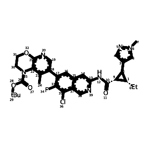 CC[C@H]1C(c2cnn(C)c2)[C@H]1C(=O)Nc1cc2cc(-c3cnc4c(c3C)N(C(=O)OC(C)(C)C)CCO4)c(F)c(Cl)c2cn1